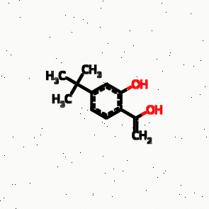 C=C(O)c1ccc(C(C)(C)C)cc1O